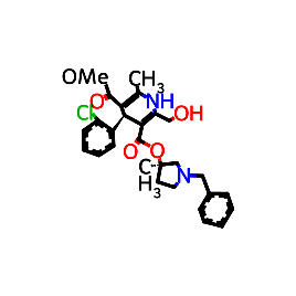 COC(=O)C1=C(C)NC(CO)=C(C(=O)O[C@]2(C)CCN(Cc3ccccc3)C2)[C@H]1c1ccccc1Cl